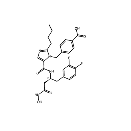 CCCCc1ncc(C(=O)N[C@H](CC(=O)NO)Cc2ccc(F)c(F)c2)n1Cc1ccc(C(=O)O)cc1